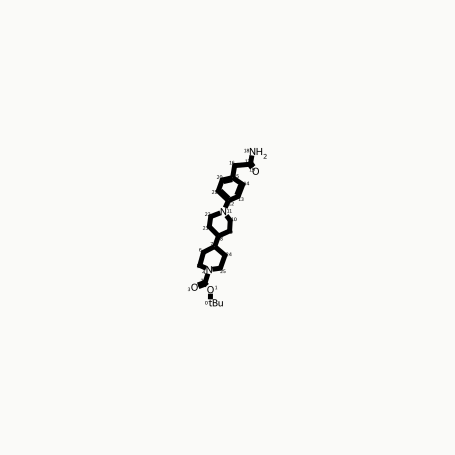 CC(C)(C)OC(=O)N1CCC(C2CCN(c3ccc(CC(N)=O)cc3)CC2)CC1